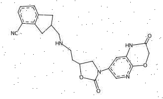 N#Cc1cccc2c1CC(CNCCC1CN(c3cnc4c(c3)NC(=O)CO4)C(=O)O1)C2